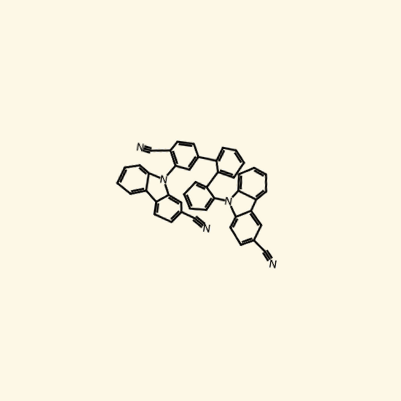 N#Cc1ccc2c(c1)c1ccccc1n2-c1ccccc1-c1ccccc1-c1ccc(C#N)c(-n2c3ccccc3c3ccc(C#N)cc32)c1